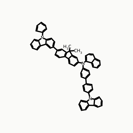 CC1(C)c2cc(-c3ccc4c(c3)c3ccccc3n4-c3ccccc3)ccc2-c2ccc(N(c3ccc(-c4ccc(-n5c6ccccc6c6ccccc65)cc4)cc3)c3cccc4ccccc34)cc21